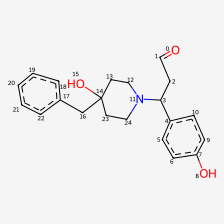 O=CCC(c1ccc(O)cc1)N1CCC(O)(Cc2ccccc2)CC1